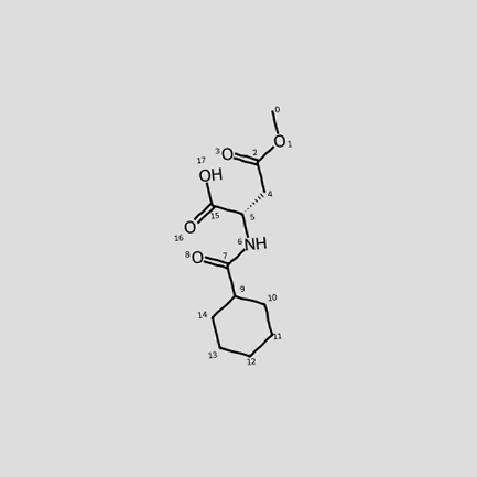 COC(=O)C[C@H](NC(=O)C1CCCCC1)C(=O)O